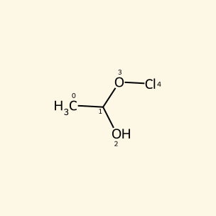 CC(O)OCl